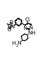 CS(=O)(=O)Nc1cccc(-c2nc(N[C@H]3CC[C@H](N)CC3)ncc2Cl)c1